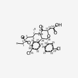 CCS(=O)(=O)CC[C@H](C)N1C(=O)[C@@H](CC(=O)O)O[C@H](c2cccc(Cl)c2)[C@H]1c1ccc(Cl)cc1